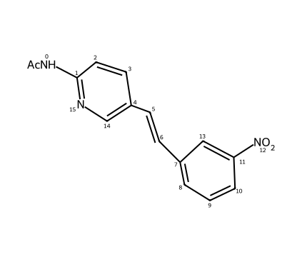 CC(=O)Nc1ccc(C=Cc2cccc([N+](=O)[O-])c2)cn1